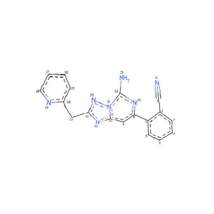 N#Cc1ccccc1-c1cc2nc(Cc3ccccn3)nn2c(N)n1